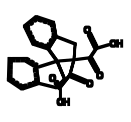 O=C(O)C(=O)C1(C(=O)C(=O)O)Cc2ccccc2C12CCc1ccccc12